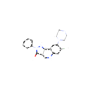 O=c1c2c[nH]c3cc(Cl)c(N4CCNCC4)cc3c-2nn1-c1ccccc1